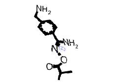 CC(C)C(=O)O/N=C(\N)c1ccc(CN)cc1